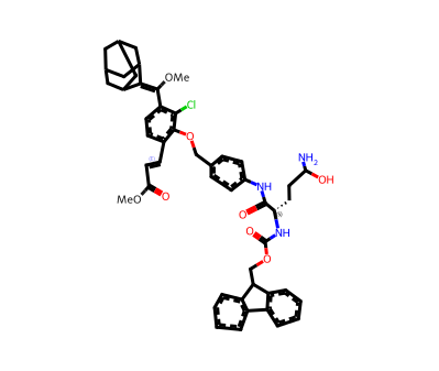 COC(=O)/C=C/c1ccc(C(OC)=C2C3CC4CC(C3)CC2C4)c(Cl)c1OCc1ccc(NC(=O)[C@H](CCC(N)O)NC(=O)OCC2c3ccccc3-c3ccccc32)cc1